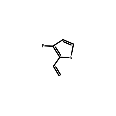 C=Cc1sccc1F